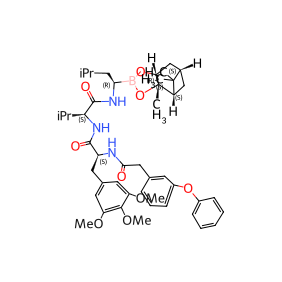 COc1cc(C[C@H](NC(=O)Cc2cccc(Oc3ccccc3)c2)C(=O)N[C@H](C(=O)N[C@@H](CC(C)C)B2O[C@@H]3C[C@@H]4C[C@@H](C4(C)C)[C@]3(C)O2)C(C)C)cc(OC)c1OC